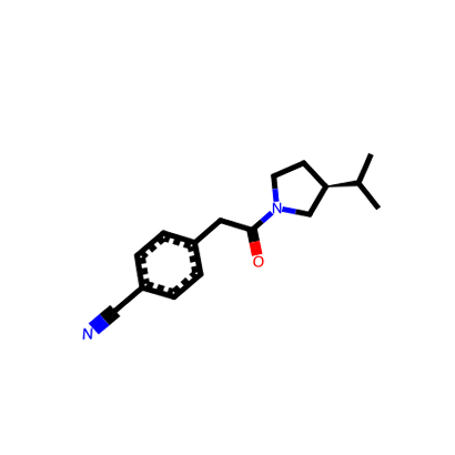 CC(C)[C@@H]1CCN(C(=O)Cc2ccc(C#N)cc2)C1